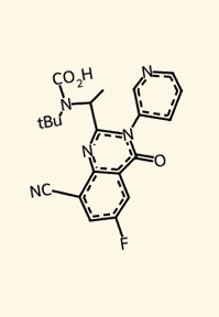 CC(c1nc2c(C#N)cc(F)cc2c(=O)n1-c1cccnc1)N(C(=O)O)C(C)(C)C